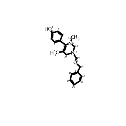 CC1=C(c2ccc(O)cc2)N(C)CN(COCc2ccccc2)C1